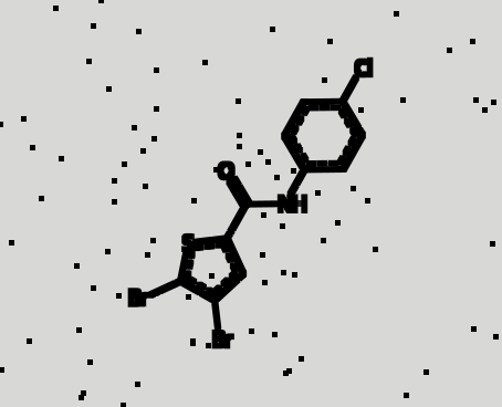 O=C(Nc1ccc(Cl)cc1)c1cc(Br)c(Br)s1